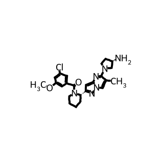 COc1cc(Cl)cc(C(=O)N2CCCC[C@H]2c2cc3nc(N4CC[C@H](N)C4)c(C)cn3n2)c1